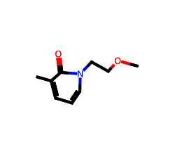 COCCn1cccc(C)c1=O